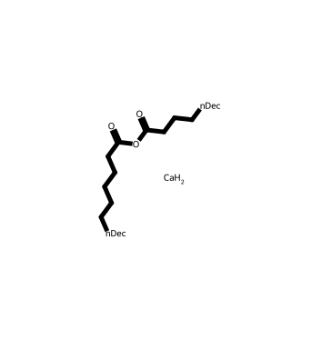 CCCCCCCCCCCCCCCC(=O)OC(=O)CCCCCCCCCCCCC.[CaH2]